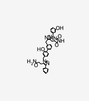 NC(=O)CCc1c(-c2ccccc2)ncn1Cc1ccc(-c2cccc(Cc3ncn(Cc4cccc(O)c4)c3CC3NC(=O)NC3=O)c2)c(O)c1